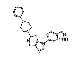 c1ccc(C2CCN(c3ncc4ncn(-c5ccc6cn[nH]c6c5)c4n3)CC2)cc1